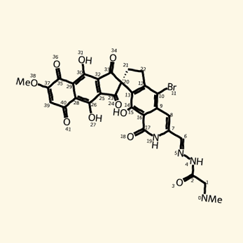 CNCC(=O)NN=Cc1cc2c(Br)c3c(c(O)c2c(=O)[nH]1)[C@@]1(CC3)C(=O)c2c(O)c3c(c(O)c2C1=O)C(=O)C(OC)=CC3=O